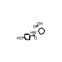 O=C(N[C@H]1CCCC[C@H]1C(=O)O)c1ccc(O)cc1